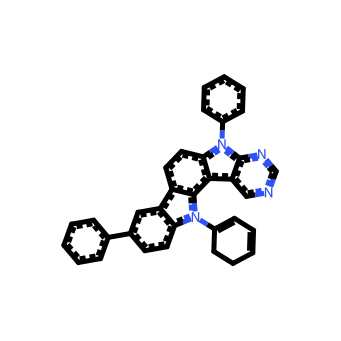 C1=CCCC(n2c3ccc(-c4ccccc4)cc3c3ccc4c(c5cncnc5n4-c4ccccc4)c32)=C1